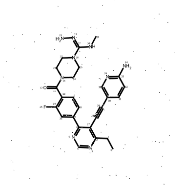 CCc1ncnc(-c2ccc(C(=O)N3CCN(/C(=N\N)NC)CC3)c(F)c2)c1C#Cc1ccc(N)nc1